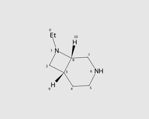 CCN1C[C@H]2CCNC[C@H]21